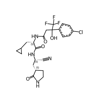 N#C[C@H](C[C@@H]1CCNC1=O)NC(=O)[C@H](CC1CC1)NC(=O)CC(O)(c1ccc(Cl)cc1)C(F)(F)F